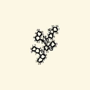 c1ccc2cc3c(cc2c1)c1c2ccccc2ccc1n3-c1cc(-c2nc(-c3ccc4c(c3)sc3ccccc34)nc(-c3cccc4ccccc34)n2)c2c(c1)oc1ccccc12